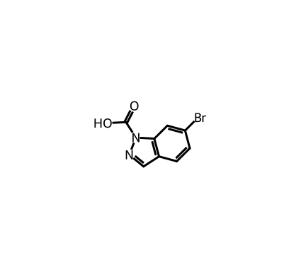 O=C(O)n1ncc2ccc(Br)cc21